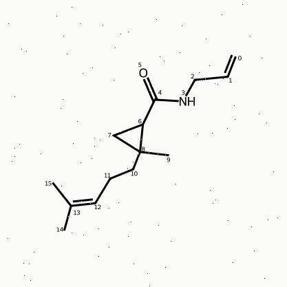 C=CCNC(=O)C1CC1(C)CCC=C(C)C